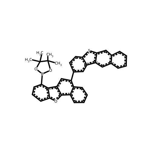 CC1(C)OB(c2cccc3oc4c5ccccc5c(-c5ccc6sc7cc8ccccc8cc7c6c5)cc4c23)OC1(C)C